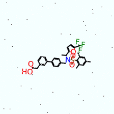 Cc1cc(C)c(S(=O)(=O)N(Cc2ccc(-c3cccc(CC(=O)O)c3)cc2)C(C)c2ccc(C(F)(F)F)o2)c(C)c1